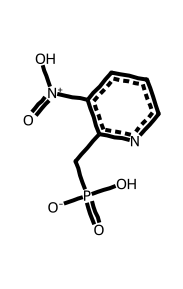 O=[N+](O)c1cccnc1CP(=O)([O-])O